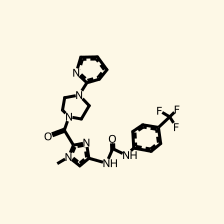 Cn1cc(NC(=O)Nc2ccc(C(F)(F)F)cc2)nc1C(=O)N1CCN(c2ccccn2)CC1